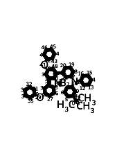 CC(C)(C)c1ccc2c(c1)N(c1ccccc1)c1cccc3c1B2n1c2ccc(Oc4ccccc4)cc2c2cc(Oc4ccccc4)cc-3c21